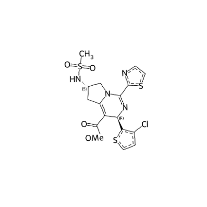 COC(=O)C1=C2C[C@H](NS(C)(=O)=O)CN2C(c2nccs2)=N[C@H]1c1sccc1Cl